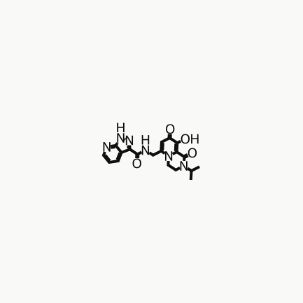 CC(C)N1CCn2c(CNC(=O)c3n[nH]c4ncccc34)cc(=O)c(O)c2C1=O